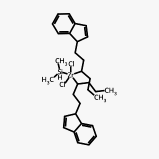 CCC[CH](CCC1C=Cc2ccccc21)[Zr]([Cl])([Cl])([CH](CCC)CCC1C=Cc2ccccc21)[SiH](C)C